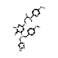 COc1ccc(CN(Cc2c[nH]nn2)c2cc(OC[C@@H](C)[C@H](C)c3ccc(OC)cn3)nn(C)c2=O)cc1